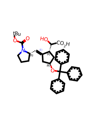 CC(C)(C)OC(=O)N1CCC[C@H]1/C=C1\C[C@H](OC(c2ccccc2)(c2ccccc2)c2ccccc2)C[C@H]1C(O)C(=O)O